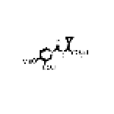 CCOC(=O)C(NC(=O)N1C=CC(OC)=C(C(=O)O)C1)C1CC1